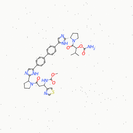 COC(=O)NC(CC(=O)N1CCCC1c1ncc(-c2ccc(-c3ccc(-c4cnc([C@@H]5CCCN5C(=O)[C@@H](OC(N)=O)C(C)C)[nH]4)cc3)cc2)[nH]1)c1cscn1